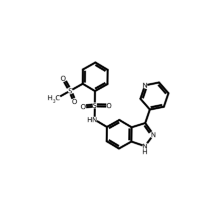 CS(=O)(=O)c1ccccc1S(=O)(=O)Nc1ccc2[nH]nc(-c3cccnc3)c2c1